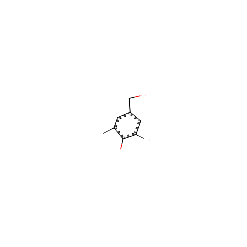 CC(C)(C)c1cc(CO)cc(C(C)(C)C)c1[O]